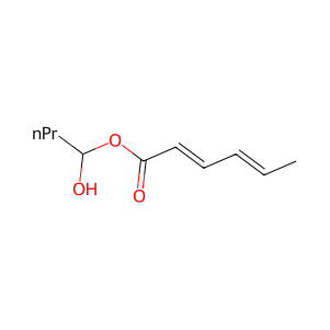 C/C=C/C=C/C(=O)OC(O)CCC